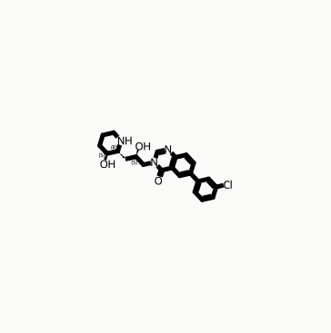 O=c1c2cc(-c3cccc(Cl)c3)ccc2ncn1C[C@@H](O)C[C@H]1NCCC[C@@H]1O